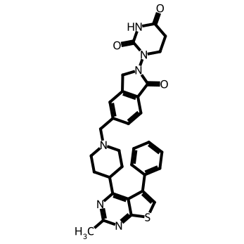 Cc1nc(C2CCN(Cc3ccc4c(c3)CN(N3CCC(=O)NC3=O)C4=O)CC2)c2c(-c3ccccc3)csc2n1